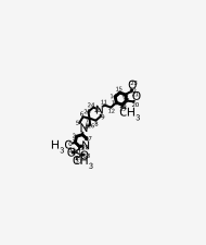 Cc1cc(N2CCC3(CCN(CCc4ccc5c(c4C)COC5=O)CC3)C2)cnc1S(C)(=O)=O